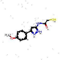 COc1ccc(-c2cc(NC(=O)CS)[nH]n2)cc1